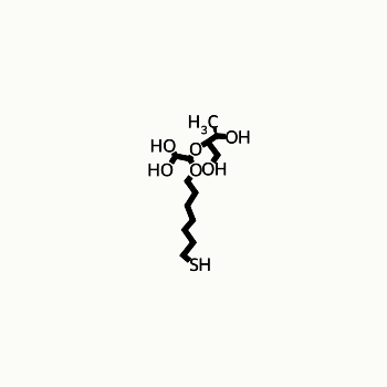 C[C@@H](O)C(CO)OC(OCCCCCCCS)C(O)O